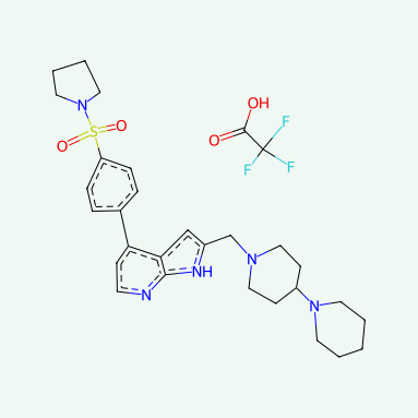 O=C(O)C(F)(F)F.O=S(=O)(c1ccc(-c2ccnc3[nH]c(CN4CCC(N5CCCCC5)CC4)cc23)cc1)N1CCCC1